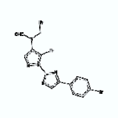 CCc1c(N(C=O)CC(C)C)cnn1-c1nc(-c2ccc(Br)cc2)cs1